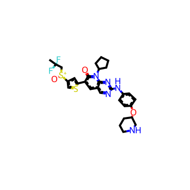 CC(F)(F)C[S+]([O-])c1csc(-c2cc3cnc(Nc4ccc(OC5CCCNC5)cc4)nc3n(C3CCCC3)c2=O)c1